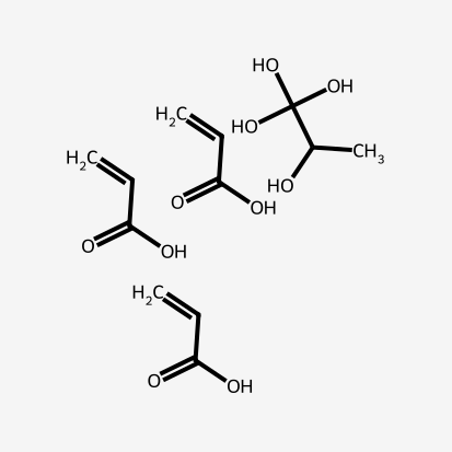 C=CC(=O)O.C=CC(=O)O.C=CC(=O)O.CC(O)C(O)(O)O